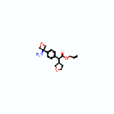 C=CCOC(=O)C(c1ccc(C2(N)COC2)cc1)C1CCOC1